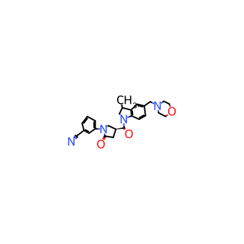 CC1CN(C(=O)[C@H]2CC(=O)N(c3cccc(C#N)c3)C2)c2ccc(CN3CCOCC3)cc21